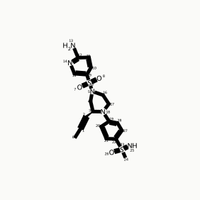 CC#C[C@H]1CN(S(=O)(=O)c2ccc(N)nc2)CCN1c1ccc(S(C)(=N)=O)cc1